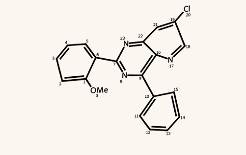 COc1ccccc1-c1nc(-c2ccccc2)c2ncc(Cl)cc2n1